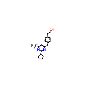 OCCc1ccc(Cc2cc(C(F)(F)F)nc(C3CCCC3)n2)cc1